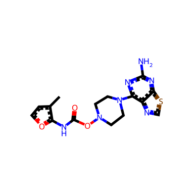 Cc1ccoc1NC(=O)ON1CCN(c2nc(N)nc3scnc23)CC1